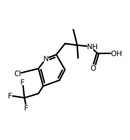 CC(C)(Cc1ccc(CC(F)(F)F)c(Cl)n1)NC(=O)O